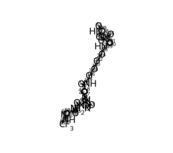 NC(=O)c1nn(-c2ccc(C(=O)NCCOCCOCCOCCOCCNc3cccc4c3C(=O)N(C3CCC(=O)NC3=O)C4=O)cc2)cc1NC(=O)c1coc(-c2ccnc(NCC(F)(F)F)c2)n1